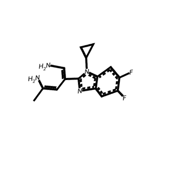 C/C(N)=C/C(=C\N)c1nc2cc(F)c(F)cc2n1C1CC1